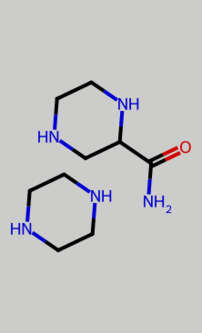 C1CNCCN1.NC(=O)C1CNCCN1